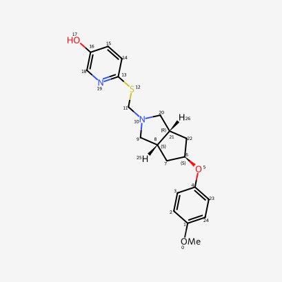 COc1ccc(O[C@H]2C[C@@H]3CN(CSc4ccc(O)cn4)C[C@@H]3C2)cc1